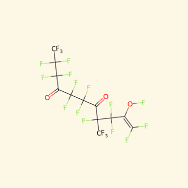 O=C(C(F)(F)C(F)(F)C(=O)C(F)(C(F)(F)F)C(F)(F)C(OF)=C(F)F)C(F)(F)C(F)(F)C(F)(F)F